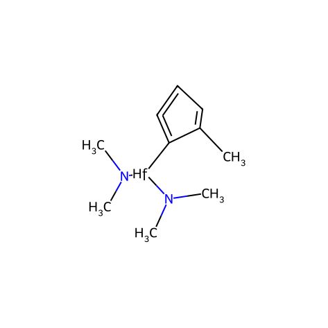 CC1=CC=C=[C]1[Hf]([N](C)C)[N](C)C